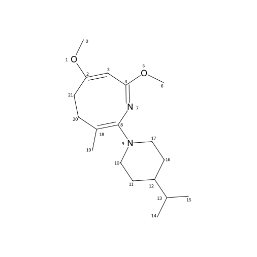 CO/C1=C/C(OC)=N\C(N2CCC(C(C)C)CC2)=C(\C)CC1